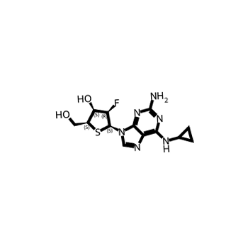 Nc1nc(NC2CC2)c2ncn([C@H]3S[C@@H](CO)[C@@H](O)[C@H]3F)c2n1